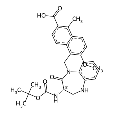 COc1ccc2c(C)c(C(=O)O)ccc2c1CN1C(=O)[C@@H](NC(=O)OC(C)(C)C)CNc2ccccc21